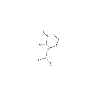 CC1CCCC[CH]1[K].FB(F)F